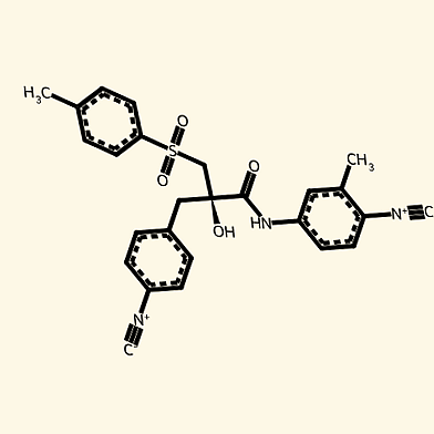 [C-]#[N+]c1ccc(C[C@](O)(CS(=O)(=O)c2ccc(C)cc2)C(=O)Nc2ccc([N+]#[C-])c(C)c2)cc1